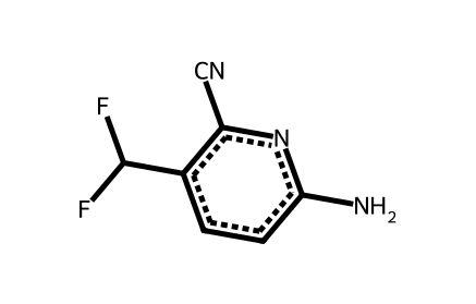 N#Cc1nc(N)ccc1C(F)F